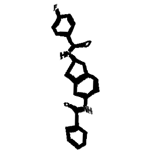 O=C(Nc1ccc2c(c1)CC(NC(=O)c1ccc(F)cc1)C2)c1ccccc1